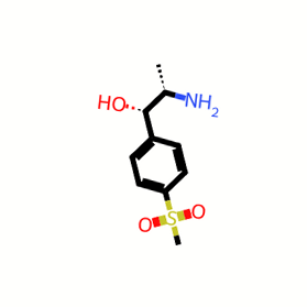 C[C@H](N)[C@@H](O)c1ccc(S(C)(=O)=O)cc1